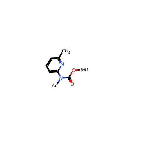 CC(=O)N(C(=O)OC(C)(C)C)c1cccc(C)n1